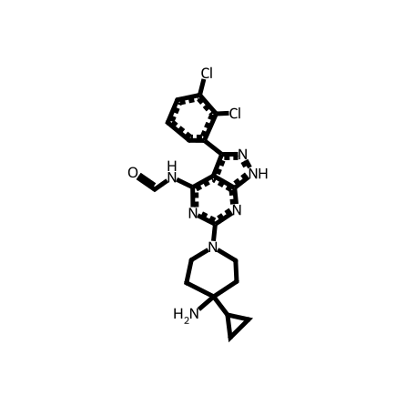 NC1(C2CC2)CCN(c2nc(NC=O)c3c(-c4cccc(Cl)c4Cl)n[nH]c3n2)CC1